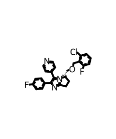 Fc1ccc(-c2nc3n(c2-c2ccncc2)[C@H](COCc2c(F)cccc2Cl)CC3)cc1